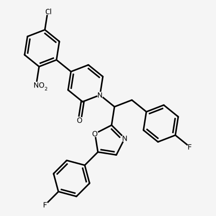 O=c1cc(-c2cc(Cl)ccc2[N+](=O)[O-])ccn1C(Cc1ccc(F)cc1)c1ncc(-c2ccc(F)cc2)o1